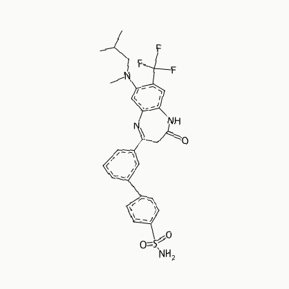 CC(C)CN(C)c1cc2c(cc1C(F)(F)F)NC(=O)CC(c1cccc(-c3ccc(S(N)(=O)=O)cc3)c1)=N2